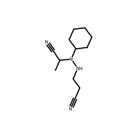 CC(C#N)N(NCCC#N)C1CCCCC1